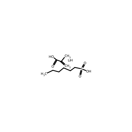 C=C(C)C(=O)O.CCCCCCS(=O)(=O)O.[LiH]